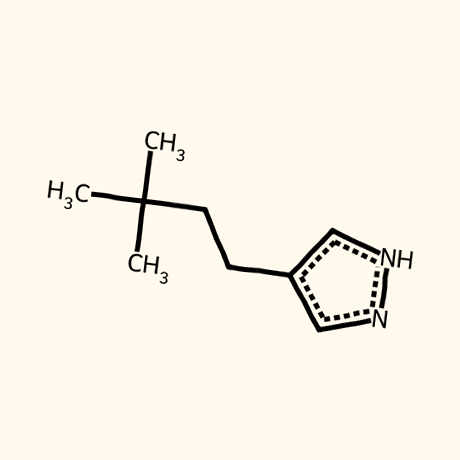 CC(C)(C)CCc1cn[nH]c1